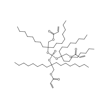 C=CC(=O)OCC(CCCCCCCC)(CCCCCCCC)OP(=O)(OC(CCCCCCCC)(CCCCCCCC)COC(=O)C=C)OC(CCCCCCCC)(CCCCCCCC)COC(=O)C=C